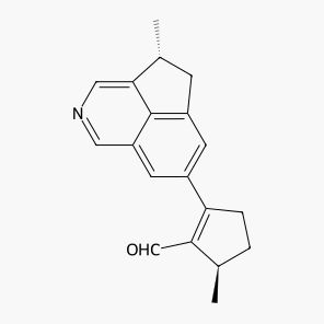 C[C@@H]1CCC(c2cc3c4c(cncc4c2)[C@H](C)C3)=C1C=O